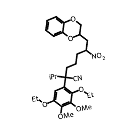 CCOc1cc(C(C#N)(CCCC(CC2COc3ccccc3O2)[N+](=O)[O-])C(C)C)c(OCC)c(OC)c1OC